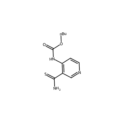 CCCCOC(=O)Nc1ccncc1C(N)=S